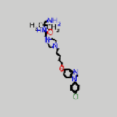 CC(C)(CN)NC(=O)CN1CCN(CCCCCOc2ccc3c(c2)ncn3-c2ccc(Cl)cc2)CC1